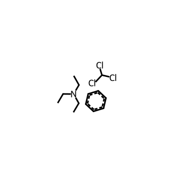 CCN(CC)CC.ClC(Cl)Cl.c1ccccc1